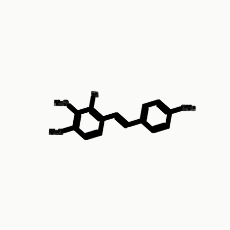 CCc1c(/C=C/c2ccc(OC)cc2)ccc(OC)c1OC